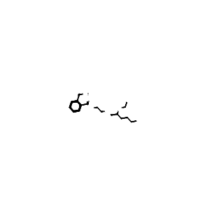 CCCCC(COCCOC(=O)c1ccccc1C(=O)O)OCC